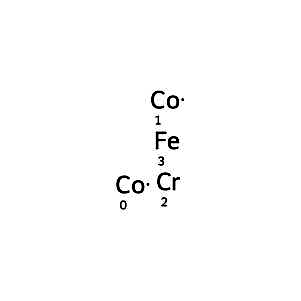 [Co].[Co].[Cr].[Fe]